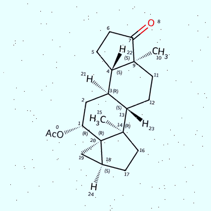 CC(=O)O[C@@H]1C[C@H]2[C@@H]3CCC(=O)[C@@]3(C)CC[C@@H]2[C@@]2(C)CC[C@H]3C[C@]312